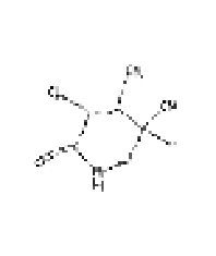 N#CC1(Cl)CNC(=O)C(Cl)C1C(F)(F)F